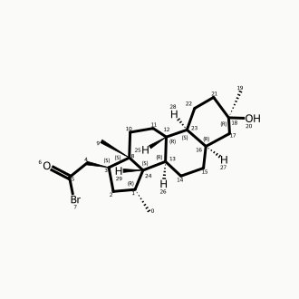 C[C@@H]1C[C@@H](CC(=O)Br)[C@]2(C)CC[C@H]3[C@@H](CC[C@@H]4C[C@](C)(O)CC[C@@H]43)[C@H]12